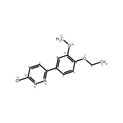 CCOc1ccc(-c2ccc(Cl)nn2)cc1OC